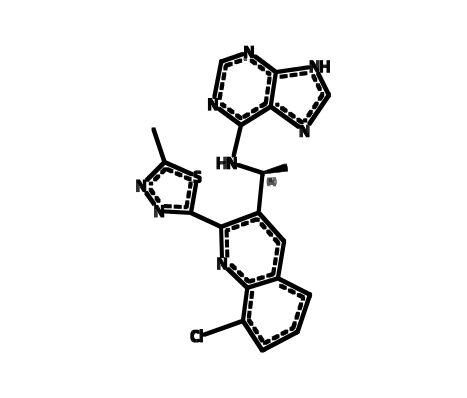 Cc1nnc(-c2nc3c(Cl)cccc3cc2[C@H](C)Nc2ncnc3[nH]cnc23)s1